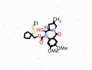 C=C1C[C@H]2C(O)N(C(=O)OCC3(SSCC)CCCC3)c3cc(OC)c(OC)cc3C(=O)N2C1